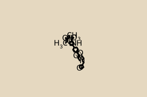 Cn1c(=O)c2[nH]c(-c3ccc(S(=O)(=O)N4CCN(Cc5ccoc5)CC4)cc3)cc2n(C)c1=O